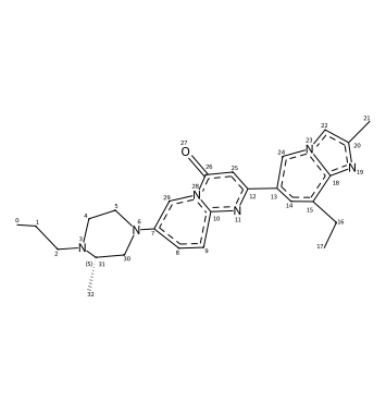 CCCN1CCN(c2ccc3nc(-c4cc(CC)c5nc(C)cn5c4)cc(=O)n3c2)C[C@@H]1C